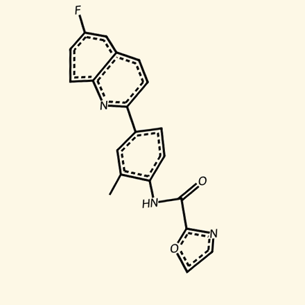 Cc1cc(-c2ccc3cc(F)ccc3n2)ccc1NC(=O)c1ncco1